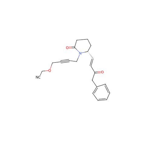 N#CCOCC#CCN1C(=O)CCC[C@@H]1/C=C/C(=O)Cc1ccccc1